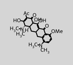 COc1ccc(N(C)C)c2c1C(=O)C1=C(O)[C@]3(O)C(=O)C(C(C)=O)=C(O)[C@@H](N(C)C)[C@@H]3CC1C2